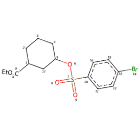 CCOC(=O)C1CCCC(OS(=O)(=O)c2ccc(Br)cc2)C1